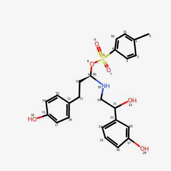 Cc1ccc(S(=O)(=O)O[C@H](CCc2ccc(O)cc2)NCC(O)c2cccc(O)c2)cc1